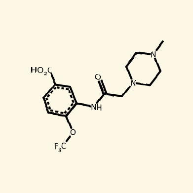 CN1CCN(CC(=O)Nc2cc(C(=O)O)ccc2OC(F)(F)F)CC1